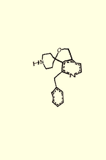 c1ccc(Cc2nccc3c2C2(CCNCC2)OC3)cc1